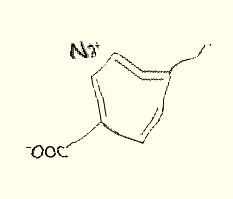 [CH2]c1ccc(C(=O)[O-])cc1.[Na+]